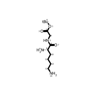 CC(C)(C)OC(=O)[CH]NC(=O)[C@@H](N)CCCCN